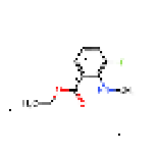 CCOC(=O)c1cccc(F)c1NC